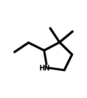 CCC1NCCC1(C)C